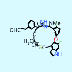 CN/C1=N\C(=N)C(C)(c2cccc(CCC=O)c2)CCCC(C)(C)CSCCc2c(c(F)cc3[nH]ccc23)Oc2ccc(F)c1c2